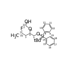 C[C@H](F)CC(CO[Si](c1ccccc1)(c1ccccc1)C(C)(C)C)OCO